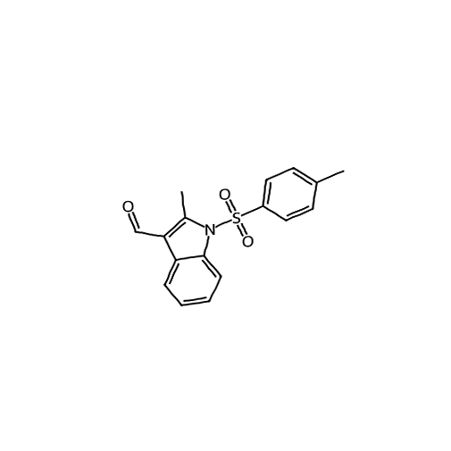 Cc1ccc(S(=O)(=O)n2c(C)c(C=O)c3ccccc32)cc1